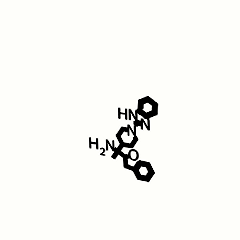 CC(N)(C1CCN(c2nc3ccccc3[nH]2)CC1)C1Cc2ccccc2O1